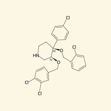 Clc1ccc([C@@]2(OCc3ccccc3Cl)CCNC[C@@H]2OCc2ccc(Cl)c(Cl)c2)cc1